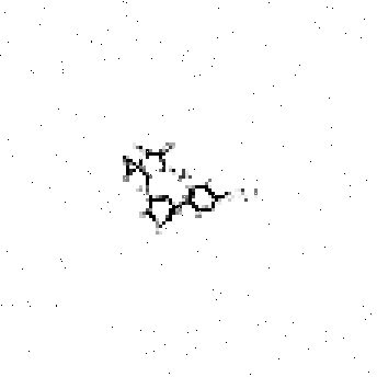 CN(C(=O)OC(C)(C)C)C1(COc2cncc(-c3ccc(C(=O)O)cc3)c2)CC1